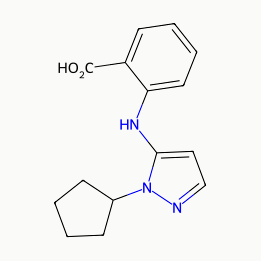 O=C(O)c1ccccc1Nc1ccnn1C1CCCC1